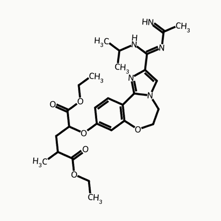 CCOC(=O)C(C)CC(Oc1ccc2c(c1)OCCn1cc(/C(=N/C(C)=N)NC(C)C)nc1-2)C(=O)OCC